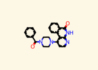 O=C(c1ccccc1)N1CCN(c2ccnc3[nH]c(=O)c4ccccc4c23)CC1